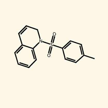 Cc1ccc(S(=O)(=O)N2CC=Cc3ccccc32)cc1